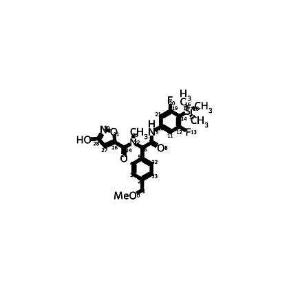 COCc1ccc(C(C(=O)Nc2cc(F)c([Si](C)(C)C)c(F)c2)N(C)C(=O)c2cc(O)no2)cc1